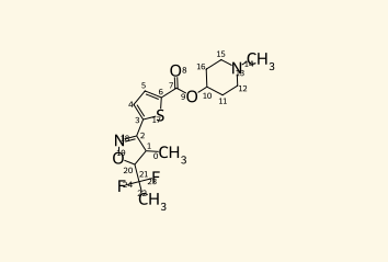 CC1C(c2ccc(C(=O)OC3CCN(C)CC3)s2)=NOC1C(C)(F)F